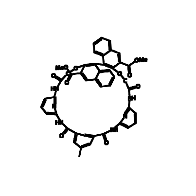 COC(=O)c1cc2ccccc2c2c1OCC(=O)Nc1cccc(n1)NC(=O)c1cc(C)cc(c1)C(=O)Nc1cccc(n1)NC(=O)COc1c(C(=O)OC)cc3ccccc3c1-2